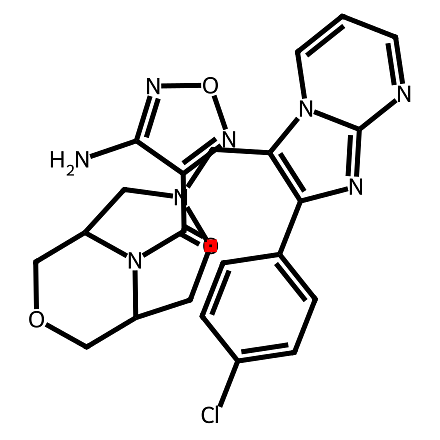 Nc1nonc1C(=O)N1C2CCN(Cc3c(-c4ccc(Cl)cc4)nc4ncccn34)CC1COC2